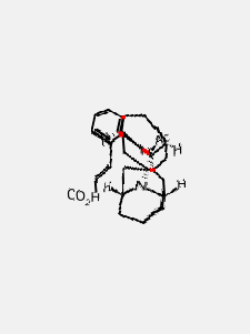 CC(=O)N(c1ccccc1/C=C/C(=O)O)[C@H]1C[C@H]2CCC[C@@H](C1)N2[C@H]1C[C@@H]2CCC[C@@H](C2)C1